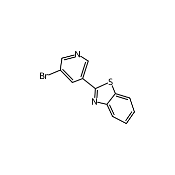 Brc1cncc(-c2nc3ccccc3s2)c1